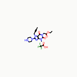 CC#CCn1c(N2CCNCC2)nc2c1c(=O)n(CC(=O)OCC)c(=O)n2C.O=C(O)C(F)(F)F